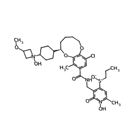 CCC[S+]([O-])c1cc(C)n(O)c(=O)c1CNC(=O)c1cc(Cl)c2c(c1C)O[C@@H](C1CCC([N+]3(O)CC(OC)C3)CC1)CCCCO2